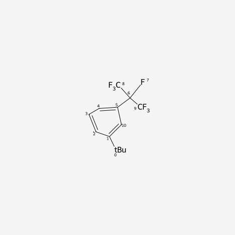 CC(C)(C)c1[c]ccc(C(F)(C(F)(F)F)C(F)(F)F)c1